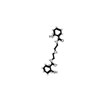 O=C(OCCOCCOC(=O)c1ccccc1S)c1ccccc1S